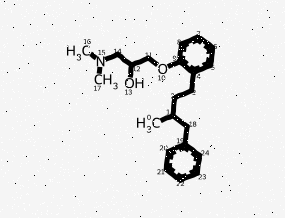 CC(CCc1ccccc1OCC(O)CN(C)C)Cc1ccccc1